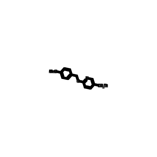 CCOC(=O)c1ccc(OCc2ccc(OC)cc2)nc1